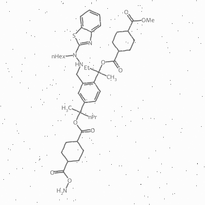 CCCCCCN(NCc1cc(C(C)(CCC)OC(=O)C2CCC(C(=O)ON)CC2)ccc1C(C)(CC)OC(=O)C1CCC(C(=O)OC)CC1)c1nc2ccccc2s1